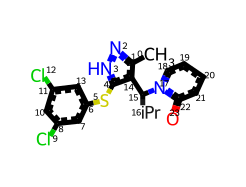 Cc1n[nH]c(Sc2cc(Cl)cc(Cl)c2)c1C(C(C)C)n1ccccc1=O